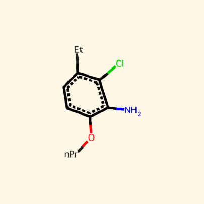 CCCOc1ccc(CC)c(Cl)c1N